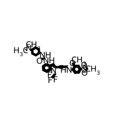 COc1cc(S(C)(=O)=O)ccc1NCC#Cc1cc2c(NC(=O)N[C@H]3CC[C@H](N(C)C)CC3)cccc2n1CC(F)(F)F